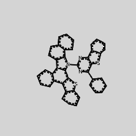 c1ccc(-c2nc(-n3c4c5ccccc5ccc4c4c5ccccc5c5c6ccccc6sc5c43)nc3c2sc2ccccc23)cc1